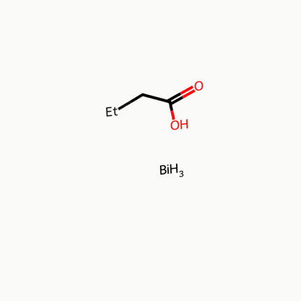 CCCC(=O)O.[BiH3]